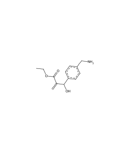 C=C(C(=O)OCC)C(O)c1ccc(CN)cc1